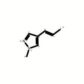 Cn1cc(C=CI)cn1